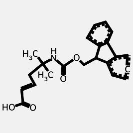 CC(C)(C/C=C/C(=O)O)NC(=O)OCC1c2ccccc2-c2ccccc21